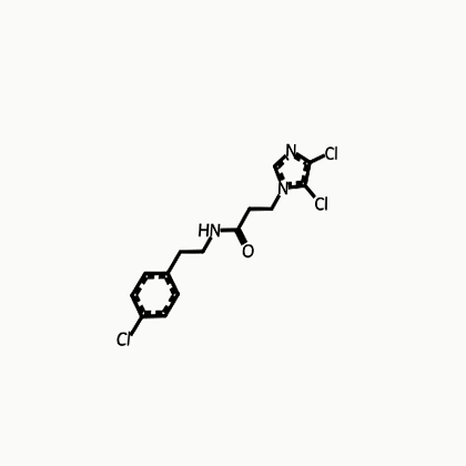 O=C(CCn1cnc(Cl)c1Cl)NCCc1ccc(Cl)cc1